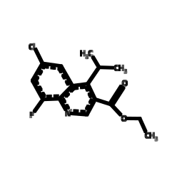 CCOC(=O)c1cnc2c(F)cc(Cl)cc2c1C(C)C